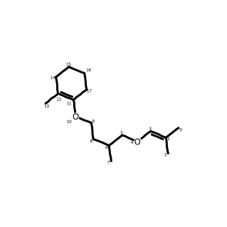 CC(C)=COCC(C)CCOC1=C(C)CCCC1